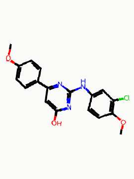 COc1ccc(-c2cc(O)nc(Nc3ccc(OC)c(Cl)c3)n2)cc1